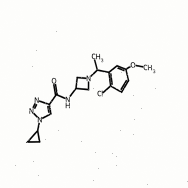 COc1ccc(Cl)c(C(C)N2CC(NC(=O)c3cn(C4CC4)nn3)C2)c1